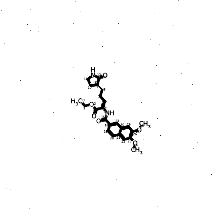 CCOC(=O)C(=CCC[C@H]1CCNC1=O)NC(=O)c1ccc2cc(OC)c(OC)cc2c1